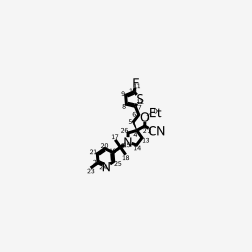 CCOC(C#N)[C@]1(CCc2ccc(F)s2)CCN(C(C)(C)c2ccc(C)nc2)C1